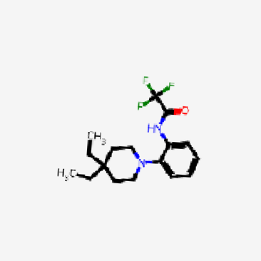 CCC1(CC)CCN(c2ccccc2NC(=O)C(F)(F)F)CC1